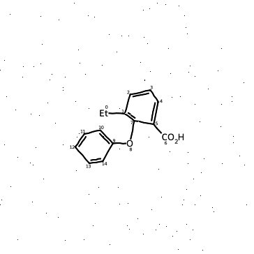 CCc1cccc(C(=O)O)c1Oc1ccccc1